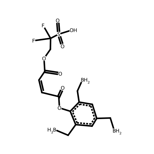 BCc1cc(CB)c(OC(=O)/C=C\C(=O)OCC(F)(F)S(=O)(=O)O)c(CB)c1